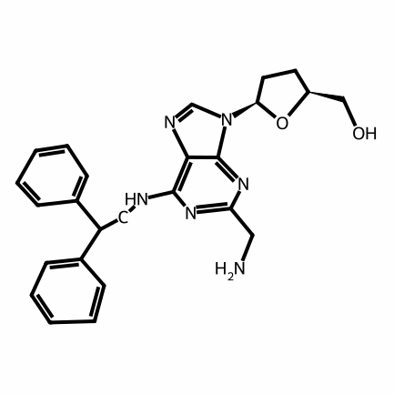 NCc1nc(NCC(c2ccccc2)c2ccccc2)c2ncn([C@H]3CC[C@@H](CO)O3)c2n1